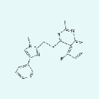 Cc1nc(CCc2nc(-c3ccccc3)cn2C)c2c(F)cccc2n1